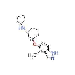 Cc1c(O[C@@H]2CCC[C@@H](NC3CCCC3)C2)ccc2[nH]ncc12